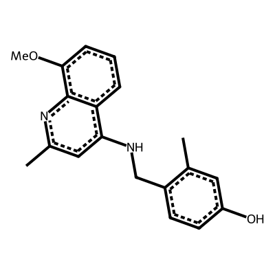 COc1cccc2c(NCc3ccc(O)cc3C)cc(C)nc12